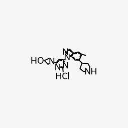 Cc1nc(N2CC(O)C2)cc(-n2ncc3cc(C)c(C4CCNCC4)cc32)n1.Cl